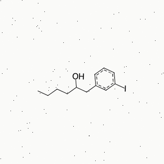 CCCCC(O)Cc1cccc(I)c1